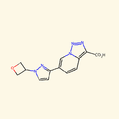 O=C(O)c1nnn2cc(-c3ccn(C4COC4)n3)ccc12